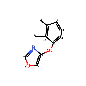 Cc1cccc(Oc2co[c]n2)c1C